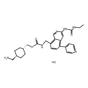 CCNC(=O)Nc1cc2c(-c3ccncc3)ccc(CNC(=O)OC[C@H]3CC[C@H](CN)CC3)c2cn1.Cl